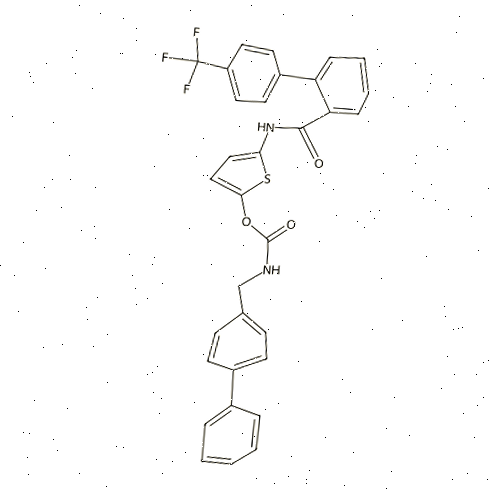 O=C(NCc1ccc(-c2ccccc2)cc1)Oc1ccc(NC(=O)c2ccccc2-c2ccc(C(F)(F)F)cc2)s1